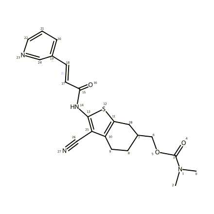 CN(C)C(=O)OCC1CCc2c(sc(NC(=O)/C=C/c3cccnc3)c2C#N)C1